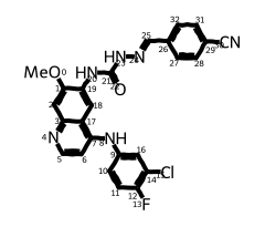 COc1cc2nccc(Nc3ccc(F)c(Cl)c3)c2cc1NC(=O)N/N=C/c1ccc(C#N)cc1